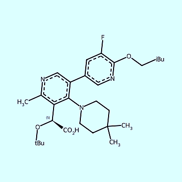 CCC(C)COc1ncc(-c2cnc(C)c([C@H](OC(C)(C)C)C(=O)O)c2N2CCC(C)(C)CC2)cc1F